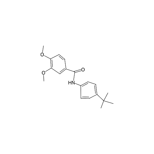 COc1ccc(C(=O)Nc2ccc(C(C)(C)C)cc2)cc1OC